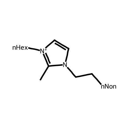 CCCCCCCCCCCn1cc[n+](CCCCCC)c1C